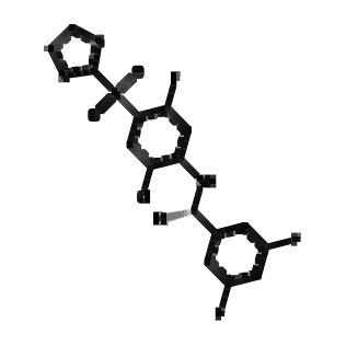 CC[C@H](Nc1cc(F)c(S(=O)(=O)c2n[c]cs2)cc1Cl)c1cc(F)cc(F)c1